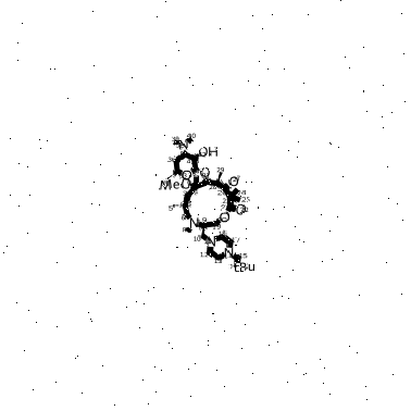 CO[C@]1(C)C[C@@H](C)CN(C)[C@H](CN2CCN(CC(C)(C)C)CC2)COC(=O)C(C)(C)C(=O)[C@H](C)[C@H]1O[C@@H]1O[C@H](C)C[C@H](N(C)C)[C@H]1O